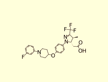 C[C@@H]1C(C(F)(F)F)=NN(c2ccc(OC3CCN(c4cccc(F)c4)CC3)cc2)[C@H]1CC(=O)O